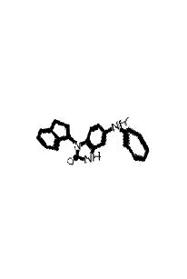 O=c1[nH]c2cc(Nc3ccccc3)ccc2n1C1CCc2ccccc21